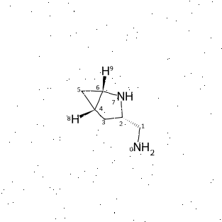 NC[C@@H]1C[C@@H]2C[C@@H]2N1